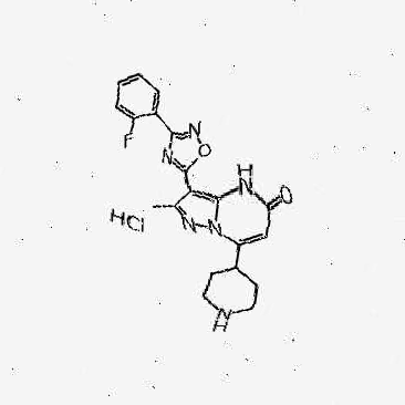 Cc1nn2c(C3CCNCC3)cc(=O)[nH]c2c1-c1nc(-c2ccccc2F)no1.Cl